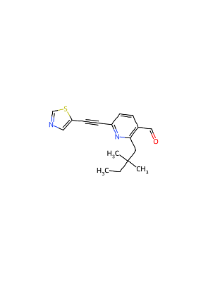 CCC(C)(C)Cc1nc(C#Cc2cncs2)ccc1C=O